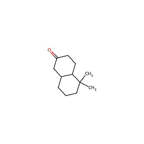 CC1(C)CCCC2CC(=O)CCC21